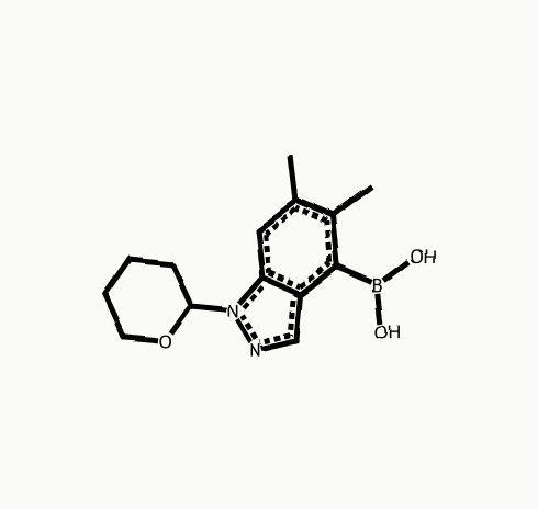 Cc1cc2c(cnn2C2CCCCO2)c(B(O)O)c1C